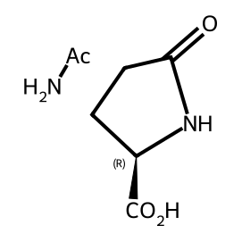 CC(N)=O.O=C1CC[C@H](C(=O)O)N1